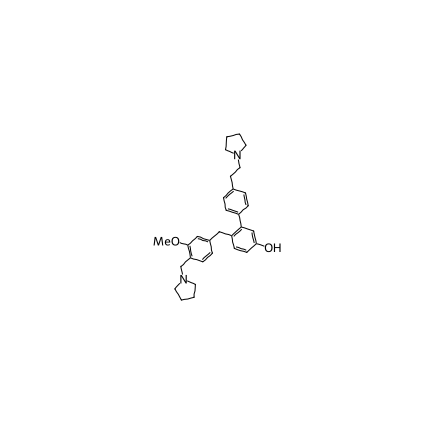 COc1cc(Cc2ccc(O)cc2-c2ccc(CCN3CCCC3)cc2)ccc1CN1CCCC1